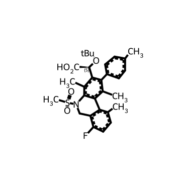 Cc1ccc(-c2c(C)c3c(c(C)c2[C@H](OC(C)(C)C)C(=O)O)N(S(C)(=O)=O)Cc2c(F)ccc(C)c2-3)cc1